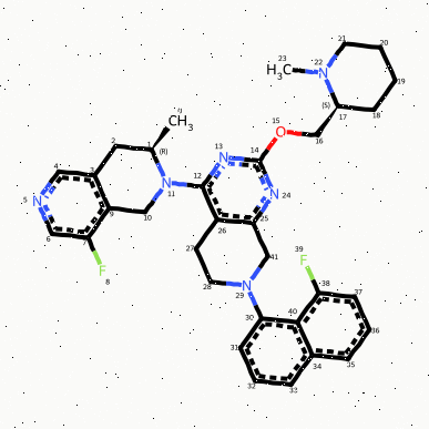 C[C@@H]1Cc2cncc(F)c2CN1c1nc(OC[C@@H]2CCCCN2C)nc2c1CCN(c1cccc3cccc(F)c13)C2